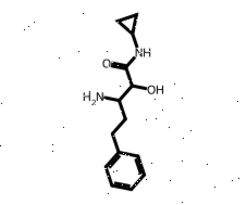 NC(CCc1ccccc1)C(O)C(=O)NC1CC1